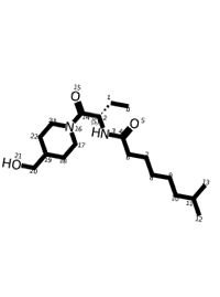 CC[C@H](NC(=O)CCCCCC(C)C)C(=O)N1CCC(CO)CC1